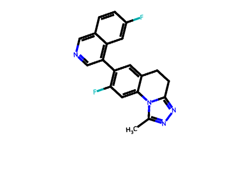 Cc1nnc2n1-c1cc(F)c(-c3cncc4ccc(F)cc34)cc1CC2